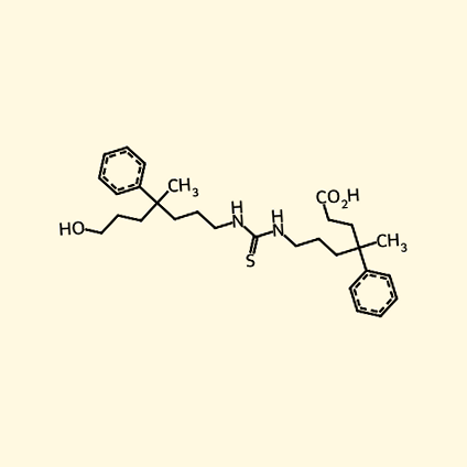 CC(CCCO)(CCCNC(=S)NCCCC(C)(CCC(=O)O)c1ccccc1)c1ccccc1